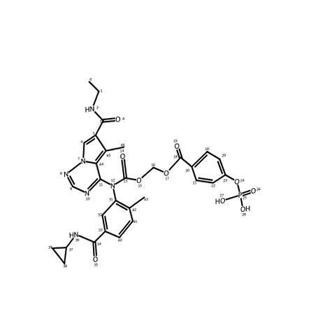 CCNC(=O)c1cn2ncnc(N(C(=O)OCOC(=O)c3ccc(OP(=O)(O)O)cc3)c3cc(C(=O)NC4CC4)ccc3C)c2c1C